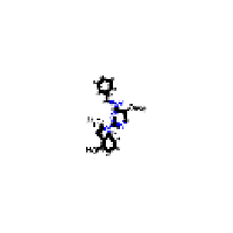 COc1cnc(-n2c(C)cc3c(C#N)cccc32)nc1NCc1ccccc1